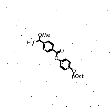 CCCCCCCCOc1ccc(OC(=O)c2ccc(C(C)OC)cc2)cc1